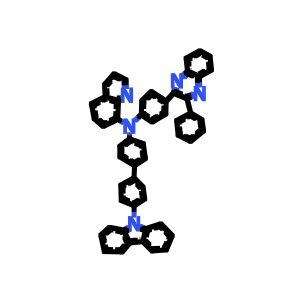 c1ccc(-c2nc3ccccc3nc2-c2ccc(N(c3ccc(-c4ccc(-n5c6ccccc6c6ccccc65)cc4)cc3)c3cccc4cccnc34)cc2)cc1